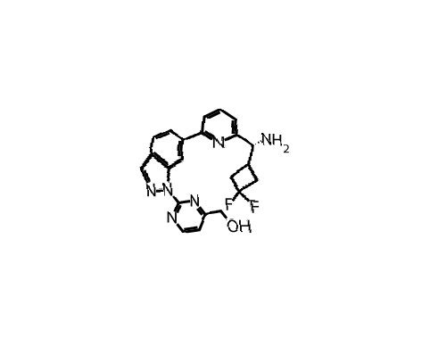 N[C@@H](c1cccc(-c2ccc3cnn(-c4nccc(CO)n4)c3c2)n1)C1CC(F)(F)C1